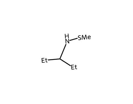 CCC(CC)NSC